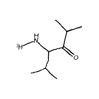 [3H]NC(C(=O)C(C)C)C(C)C